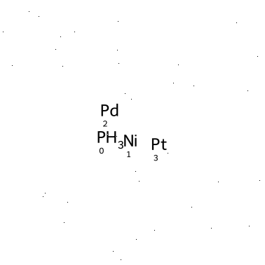 P.[Ni].[Pd].[Pt]